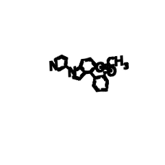 CS(=O)(=O)c1ccccc1-c1cccc2c1ccn2-c1cccnc1